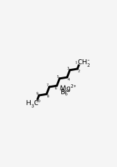 [Br-].[CH2-]CCCCCCCCC.[Mg+2]